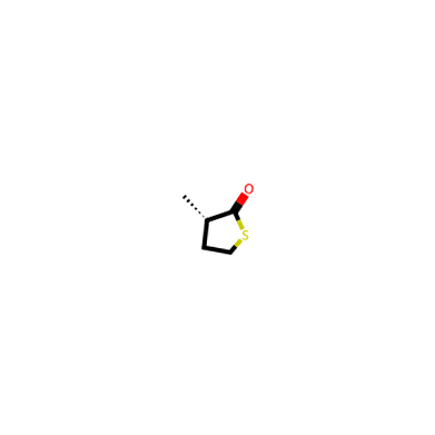 C[C@H]1CCSC1=O